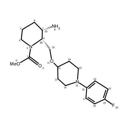 COC(=O)N1CCC[C@H](N)[C@@H]1COC1CCN(c2ccc(F)cc2)CC1